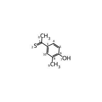 CC(=S)c1ccc(O)c(C)c1